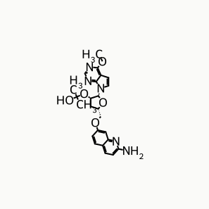 COc1ncnc2c1ccn2[C@@H]1O[C@H](COc2ccc3ccc(N)nc3c2)C[C@H]1OC(C)(C)O